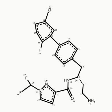 NCC[C@@H](Cc1ccc(-c2cc(Cl)ccc2F)cc1)NC(=O)c1ccn(C(F)F)n1